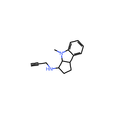 C#CCNC1CCC2c3ccccc3N(C)C12